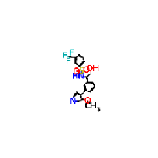 COc1cnccc1-c1cccc(C(CO)NS(=O)(=O)c2cccc(C(F)(F)F)c2)c1